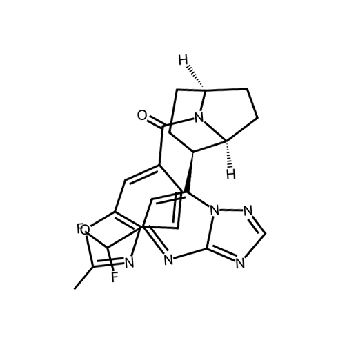 Cc1nc2ccc(C(=O)N3[C@H]4CC[C@H](c5cc(C(F)F)nc6ncnn56)[C@@H]3CC4)cc2o1